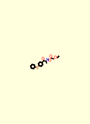 C=COCC(=O)O/N=C(\C)C(=O)c1ccc(Sc2ccccc2)cc1